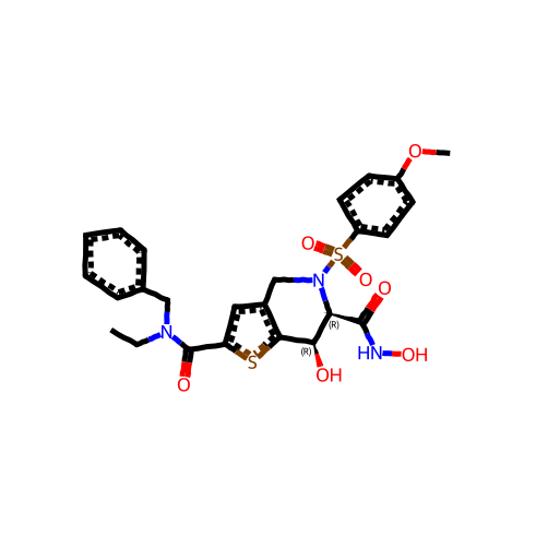 CCN(Cc1ccccc1)C(=O)c1cc2c(s1)[C@H](O)[C@H](C(=O)NO)N(S(=O)(=O)c1ccc(OC)cc1)C2